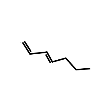 [CH]=C/C=[C]/CCC